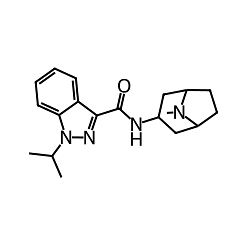 CC(C)n1nc(C(=O)NC2CC3CCC(C2)N3C)c2ccccc21